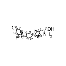 N[C@@H](CO)Cc1nc(-c2ccc(Oc3ncc(Cl)cc3F)cc2)no1